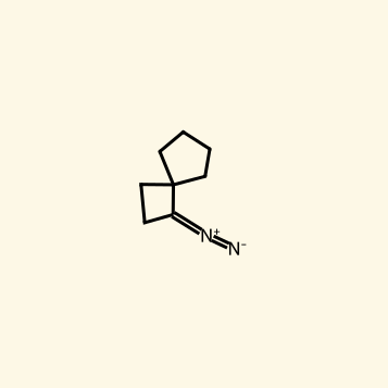 [N-]=[N+]=C1CCC12CCCC2